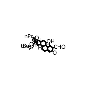 CCCC1O[C@@H]2C[C@H]3[C@@H]4CCC5=CC(=O)C(C=O)C[C@]5(C)[C@H]4[C@@H](O)C[C@]3(C)[C@]2(C(=O)CO[Si](C)(C)C(C)(C)C)O1